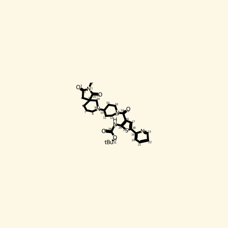 CN1C(=O)CC2(CCCN(C3CCN(C(=O)c4cc(-c5ccccn5)sc4NC(=O)OC(C)(C)C)CC3)C2)C1=O